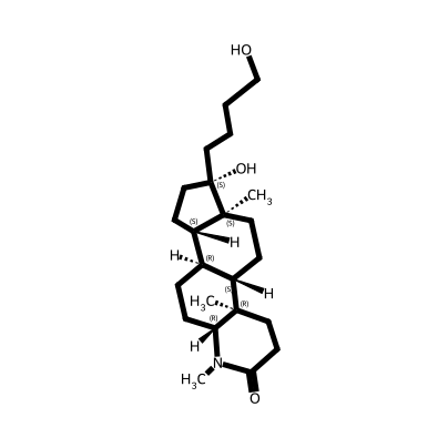 CN1C(=O)CC[C@]2(C)[C@H]3CC[C@@]4(C)[C@@H](CC[C@@]4(O)CCCCO)[C@@H]3CC[C@@H]12